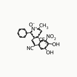 Cc1cc(C(F)(F)F)c(/C=C(/C#N)c2cc(O)c(O)c([N+](=O)[O-])c2)c(-c2ccccc2)[n+]1[O-]